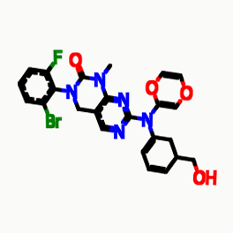 CN1C(=O)N(c2c(F)cccc2Br)Cc2cnc(N(C3=CC=CC(CO)C3)C3=COC=CO3)nc21